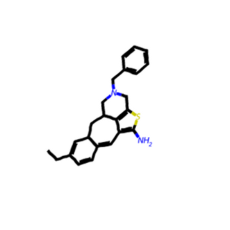 CCC1=CC2CC3CN(Cc4ccccc4)Cc4sc(N)c(c43)C=C2C=C1